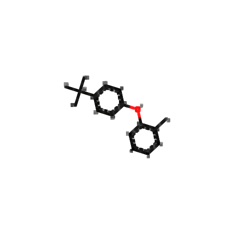 Cc1ccc[c]c1Oc1ccc(C(C)(C)C)cc1